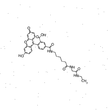 CCNC(=O)CNC(=O)CCCCCNC(=O)c1ccc(-c2c3ccc(=O)cc-3oc3cc(O)ccc23)c(C(=O)O)c1